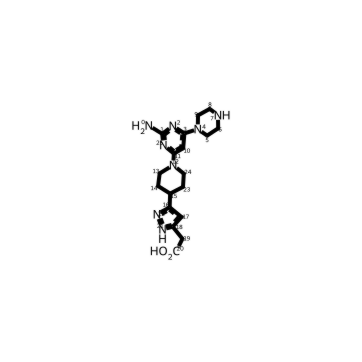 Nc1nc(N2CCNCC2)cc(N2CCC(c3cc(CC(=O)O)[nH]n3)CC2)n1